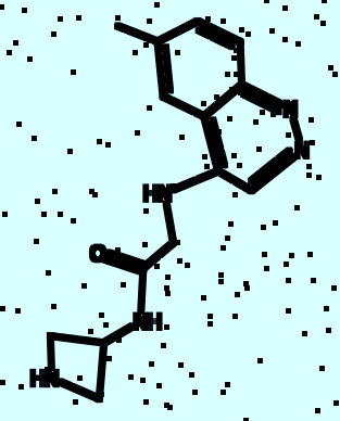 Cc1ccc2nncc(NCC(=O)NC3CNC3)c2c1